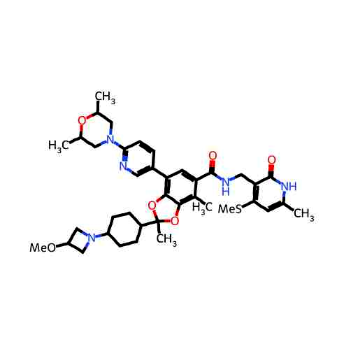 COC1CN(C2CCC(C3(C)Oc4c(-c5ccc(N6CC(C)OC(C)C6)nc5)cc(C(=O)NCc5c(SC)cc(C)[nH]c5=O)c(C)c4O3)CC2)C1